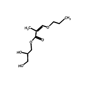 CCCOC=C(C)C(=O)OCC(O)CO